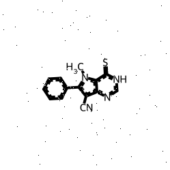 Cn1c(-c2ccccc2)c(C#N)c2nc[nH]c(=S)c21